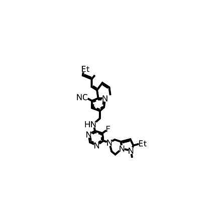 C\C=C/C(=C\C(C)=C\CC)c1ncc(CNc2ncnc(N3CCN4C(=CC(CC)N4C)C3)c2F)cc1C#N